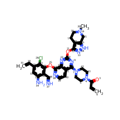 C=CC(=O)N1CCN(c2nc(Oc3n[nH]c4c3CCN(C)C4)nc3c(Oc4c(Cl)c(C=C)cc(N)c4C=N)nccc23)CC1